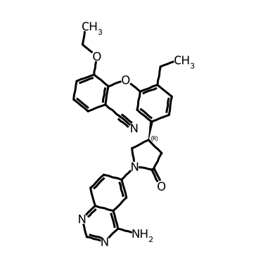 CCOc1cccc(C#N)c1Oc1cc([C@H]2CC(=O)N(c3ccc4ncnc(N)c4c3)C2)ccc1CC